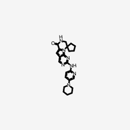 O=C1NCC2(CCCC2)n2c1cc1cnc(Nc3ccc(N4CCCCC4)cn3)nc12